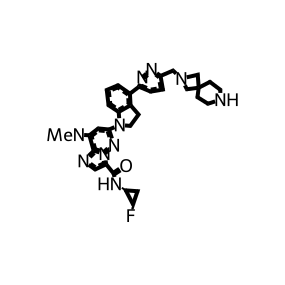 CNc1cc(N2CCc3c(-c4ccc(CN5CC6(CCNCC6)C5)nn4)cccc32)nn2c(C(=O)N[C@@H]3C[C@@H]3F)cnc12